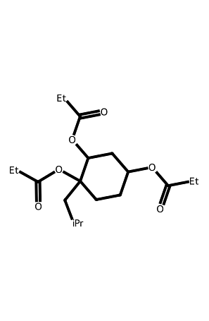 CCC(=O)OC1CCC(CC(C)C)(OC(=O)CC)C(OC(=O)CC)C1